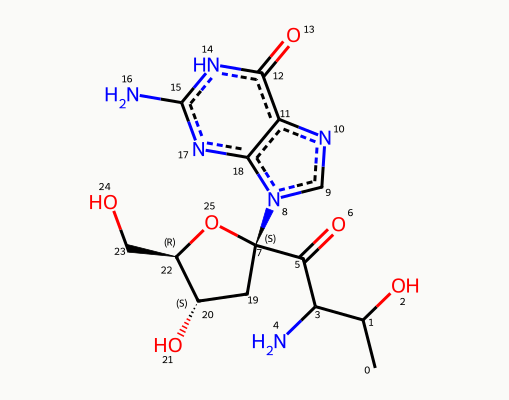 CC(O)C(N)C(=O)[C@]1(n2cnc3c(=O)[nH]c(N)nc32)C[C@H](O)[C@@H](CO)O1